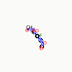 CC(=O)NC[C@H]1CN(c2ccc(N3CCN(C(=O)N4CCOCC4)CC3)c(F)c2)C(=O)O1